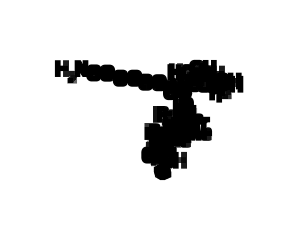 CC[C@H](C)[C@@H]([C@@H](CC(=O)N1CCC[C@H]1[C@H](OC)[C@@H](C)C(=O)N[C@H](C)[C@@H](O)c1ccccc1)OC)N(C)C(=O)[C@@H](NC(=O)[C@H](C(C)C)N(C)C(=O)OCc1ccc(O[C@@H]2O[C@H](C(=O)O)[C@@H](O)[C@H](O)[C@H]2O)c(NC(=O)CCOCCOCCOCCOCCOCCOCCN)c1)C(C)C.O=C(O)C(F)(F)F